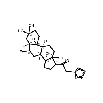 C[C@@]1(O)CC[C@@H]2[C@H]3CC[C@]4(C)[C@@H](C(=O)Cn5cnnn5)CC[C@@]4(C)[C@@H]3C[C@@H](F)[C@H]2C1